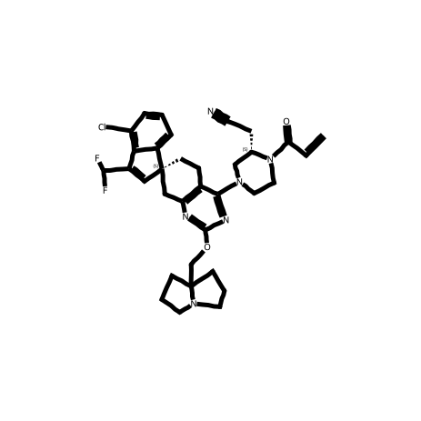 C=CC(=O)N1CCN(c2nc(OCC34CCCN3CCC4)nc3c2CC[C@@]2(C=C(C(F)F)c4c(Cl)cccc42)C3)C[C@@H]1CC#N